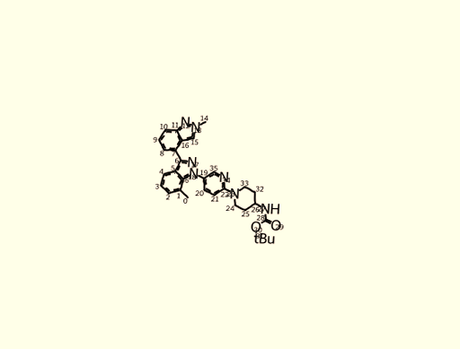 Cc1cccc2c(-c3cccc4nn(C)cc34)nn(-c3ccc(N4CCC(NC(=O)OC(C)(C)C)CC4)nc3)c12